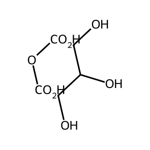 O=C(O)OC(=O)O.OCC(O)CO